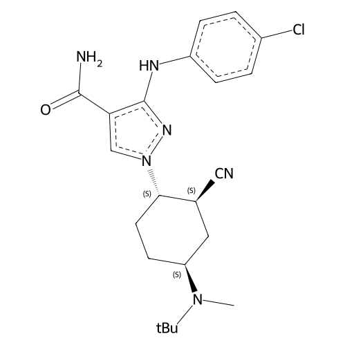 CN([C@H]1CC[C@H](n2cc(C(N)=O)c(Nc3ccc(Cl)cc3)n2)[C@@H](C#N)C1)C(C)(C)C